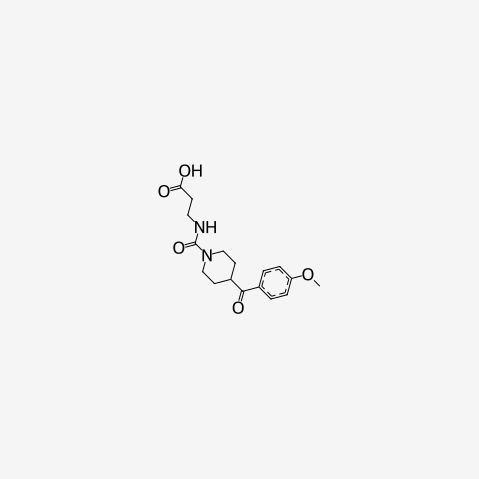 COc1ccc(C(=O)C2CCN(C(=O)NCCC(=O)O)CC2)cc1